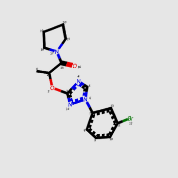 CC(Oc1ncn(-c2cccc(Br)c2)n1)C(=O)N1CCCC1